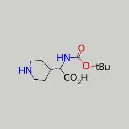 CC(C)(C)OC(=O)NC(C(=O)O)C1CCNCC1